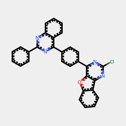 Clc1nc(-c2ccc(-c3nc(-c4ccccc4)nc4ccccc34)cc2)c2oc3ccccc3c2n1